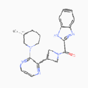 N#C[C@@H]1CCCN(c2nccnc2C2CN(C(=O)c3nc4ccccc4[nH]3)C2)C1